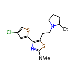 CCC1CCCN1CCc1sc(NC)nc1-c1cc(Cl)cs1